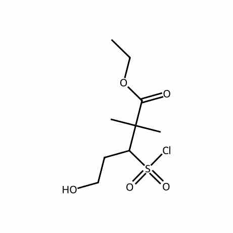 CCOC(=O)C(C)(C)C(CCO)S(=O)(=O)Cl